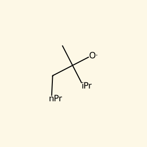 CCCCC(C)([O])C(C)C